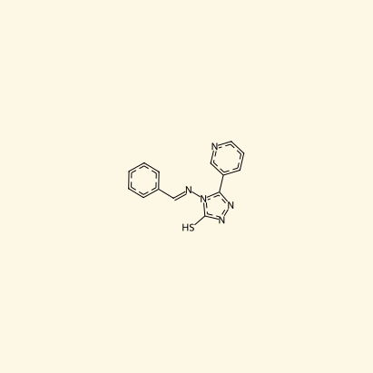 Sc1nnc(-c2cccnc2)n1N=Cc1ccccc1